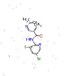 C=C(C)/N=C\C(=C/C)C(=O)Nc1ncc(Br)cc1F